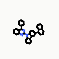 c1ccc(-c2nc(-n3c4ccccc4c4cc(-c5cccc6ccccc56)ccc43)nc3ccccc23)cc1